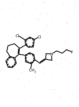 Cc1cc(C2=C(c3ccc(Cl)cc3Cl)CCCc3ccccc32)ccc1C=C1CN(CCCF)C1